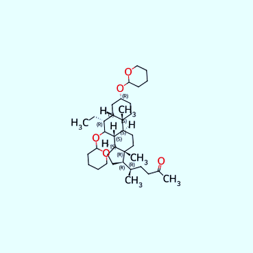 CC[C@H]1C(OC2CCCCO2)[C@@H]2[C@H](CC[C@]3(C)[C@@H]([C@H](C)CCC(C)=O)CC[C@@H]23)[C@@]2(C)CC[C@@H](OC3CCCCO3)C[C@@H]12